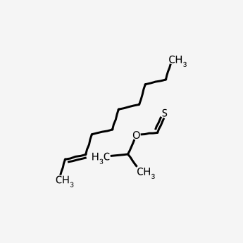 CC(C)OC=S.CC=CCCCCCCC